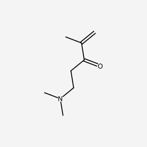 C=C(C)C(=O)CCN(C)C